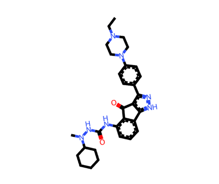 CCN1CCN(c2ccc(-c3n[nH]c4c3C(=O)c3c(NC(=O)NN(C)C5CCCCC5)cccc3-4)cc2)CC1